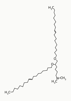 CCCCCCCCC=CCCCCCCCCOCC(CCCCN(C)C)OCCCCCCCCC=CCCCCCCCC